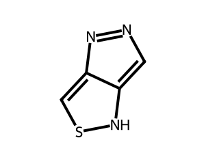 c1s[nH]c2cnnc1-2